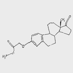 C[C@]12CCC3c4ccc(OCC(=O)OP)cc4CCC3C1CCC2=O